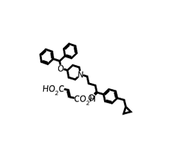 O=C(CCCN1CCC(OC(c2ccccc2)c2ccccc2)CC1)c1ccc(CC2CC2)cc1.O=C(O)C=CC(=O)O